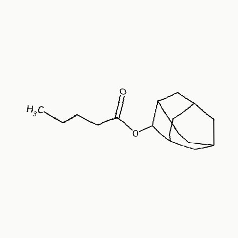 CCCCC(=O)OC1C2CC3CC(C2)CC1C3